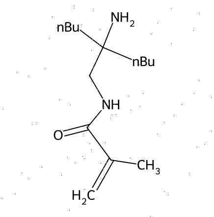 C=C(C)C(=O)NCC(N)(CCCC)CCCC